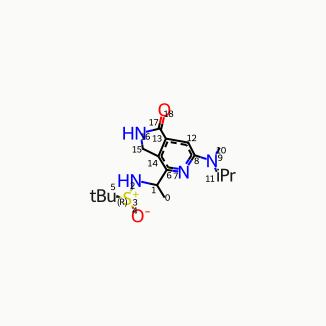 CC(N[S@@+]([O-])C(C)(C)C)c1nc(N(C)C(C)C)cc2c1CNC2=O